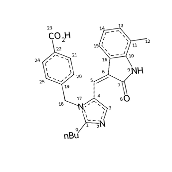 CCCCc1ncc(C=C2C(=O)Nc3c(C)cccc32)n1Cc1ccc(C(=O)O)cc1